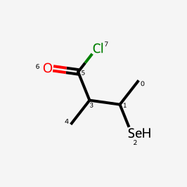 CC([SeH])C(C)C(=O)Cl